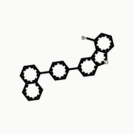 Brc1cccc2oc3ccc(-c4ccc(-c5cccc6ccccc56)cc4)cc3c12